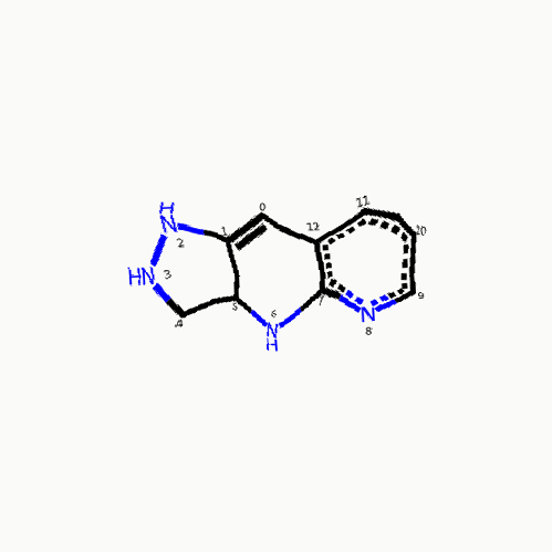 C1=C2NNCC2Nc2ncccc21